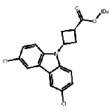 CC(C)(C)OC(=O)[C@H]1C[C@@H](n2c3ccc(Cl)cc3c3cc(Cl)ccc32)C1